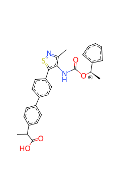 Cc1nsc(-c2ccc(-c3ccc(C(C)C(=O)O)cc3)cc2)c1NC(=O)O[C@H](C)c1ccccc1